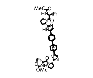 COC(=O)NC(C(=O)N1CCC[C@H]1c1ncc(-c2ccc(C34CCC(c5cnc([C@@H]6CCCN6C(=O)[C@@H](NC(=O)OC)C(C)C)[nH]5)(CC3)CC4)cc2)[nH]1)C(C)C